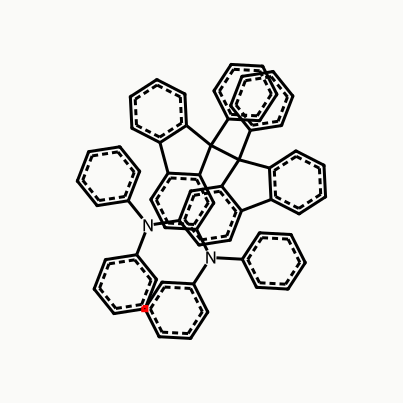 c1ccc(N(c2ccccc2)c2ccc3c(c2)C(c2ccccc2)(C2(c4ccccc4)c4ccccc4-c4ccc(N(c5ccccc5)c5ccccc5)cc42)c2ccccc2-3)cc1